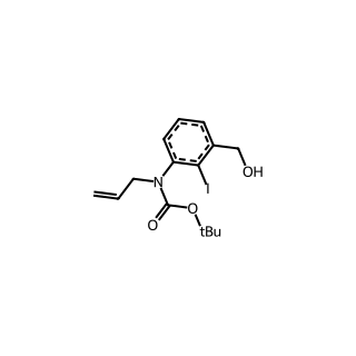 C=CCN(C(=O)OC(C)(C)C)c1cccc(CO)c1I